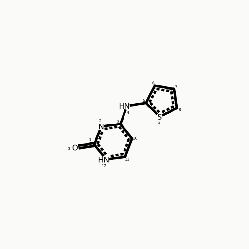 O=c1nc(Nc2cccs2)cc[nH]1